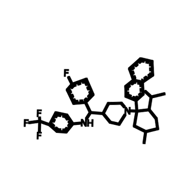 CC1CCC(C(C)C)C(c2ccc3ccccc3c2)(N2CCC(C(Nc3ccc(C(F)(F)F)cc3)c3ccc(F)cc3)CC2)C1